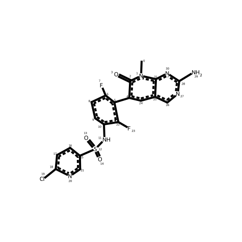 Cn1c(=O)c(-c2c(F)ccc(NS(=O)(=O)c3ccc(Cl)nc3)c2F)cc2cnc(N)nc21